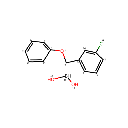 Clc1cccc(COc2ccccc2)c1.OBO